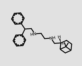 CC1(C)C2CC[C@@H](CNCCNCC(c3ccccc3)c3ccccc3)C1C2